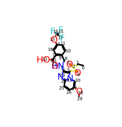 CCS(=O)(=O)c1c(NCc2ccc(OC(F)(F)F)cc2C(=O)O)nc2ccc(OC)cn12